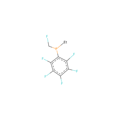 CCP(CF)c1c(F)c(F)c(F)c(F)c1F